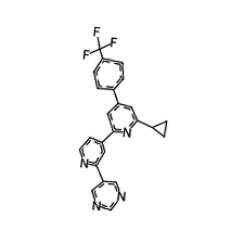 FC(F)(F)c1ccc(-c2cc(-c3ccnc(-c4cncnc4)c3)nc(C3CC3)c2)cc1